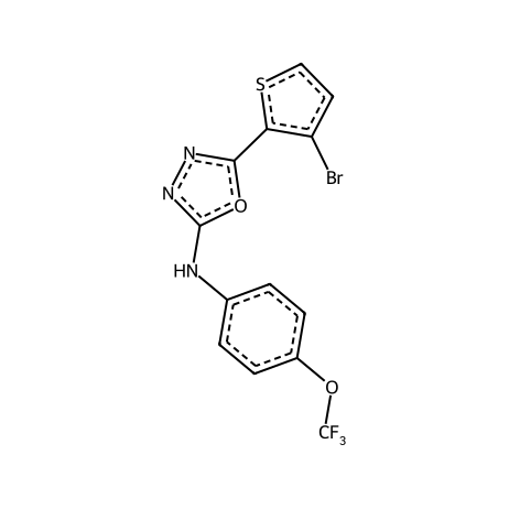 FC(F)(F)Oc1ccc(Nc2nnc(-c3sccc3Br)o2)cc1